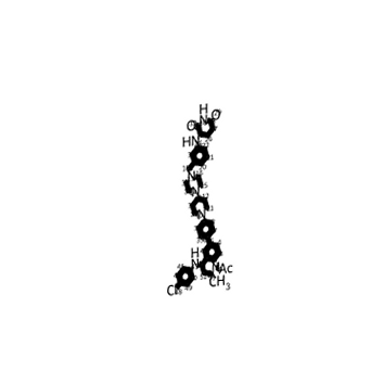 CC(=O)N1c2ccc(-c3ccc(N4CCC(N5CCN(Cc6cccc(NC7CCC(=O)NC7=O)c6)CC5)CC4)cc3)cc2C(Nc2ccc(Cl)cc2)CC1C